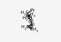 CC(C)CCCC(C)[C@H]1CC[C@H]2[C@@H]3CC=C4C[C@@H](OC(=O)CCC(=O)N5CCN(C)CCN(C)CC5)CC[C@]4(C)[C@H]3CC[C@]12C